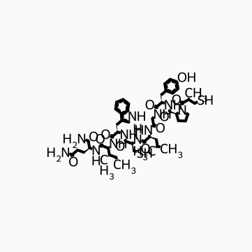 CC[C@H](C)[C@H](NC(=O)[C@H](Cc1c[nH]c2ccccc12)NC(=O)[C@H](CS)NC(=O)[C@H](CC(C)C)NC(=O)CNC(=O)[C@H](Cc1ccc(O)cc1)NC(=O)[C@@H]1CCCN1C(=O)[C@@H](C)CS)C(=O)N[C@@H](CCC(N)=O)C(N)=O